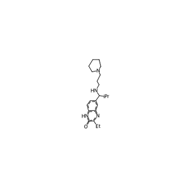 CCc1nc2cc(C(NCCCN3CCCCC3)C(C)C)ccc2[nH]c1=O